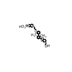 Cc1c(OCCCN2CCC3CN(C(=O)O)CC3C2)cccc1-c1cccc(-c2nc3c(s2)CN(CCO)CC3)c1C